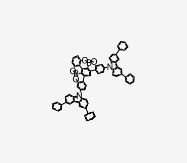 c1ccc(-c2ccc3c(c2)c2cc(-c4ccccc4)ccc2n3-c2ccc3c(c2)OB2Oc4cccc5c4-c4c2c-3cc2c4B(Oc3cc(-n4c6ccc(-c7ccccc7)cc6c6cc(-c7ccccc7)ccc64)ccc3-2)O5)cc1